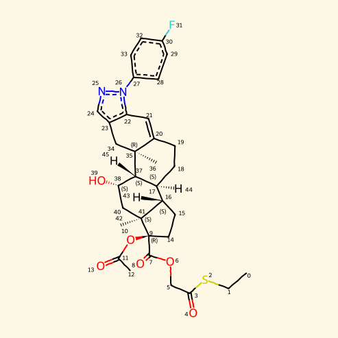 CCSC(=O)COC(=O)[C@@]1(OC(C)=O)CC[C@H]2[C@@H]3CCC4=Cc5c(cnn5-c5ccc(F)cc5)C[C@]4(C)[C@H]3[C@@H](O)C[C@@]21C